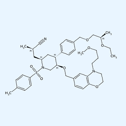 CCO[C@H](C)COCc1ccc([C@H]2C[C@H](C[C@@H](C)C#N)N(S(=O)(=O)c3ccc(C)cc3)C[C@@H]2OCc2ccc3c(c2)N(CCCOC)CCO3)cc1